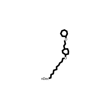 [CH2]CCCCCCCCCCCCCCCCCCCOC1CCCC(CCCOC2CC[CH]CCC2)CC1